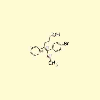 C/C=C/C(=C(/CCCO)[C@@H]1C=CC=CC1)c1ccc(Br)cc1